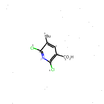 CC(C)(C)c1cc(C(=O)O)c(Cl)nc1Cl